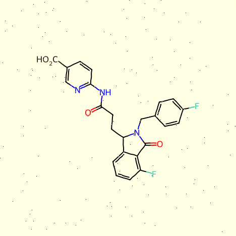 O=C(CCC1c2cccc(F)c2C(=O)N1Cc1ccc(F)cc1)Nc1ccc(C(=O)O)cn1